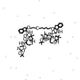 C[C@@H](C(=O)N[C@H]1CCS[C@H]2CC(C)(C)[C@@H](C(=O)N[C@H]3c4ccccc4C[C@H]3OCCCCCCCCCCO[C@@H]3Cc4ccccc4[C@@H]3NC(=O)[C@H]3N4C(=O)[C@@H](NC(=O)CN(C)C(=O)OC(C)(C)C)CCS[C@H]4CC3(C)C)N2C1=O)N(C)C(=O)OC(C)(C)C